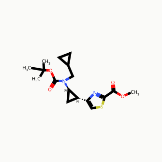 COC(=O)c1nc([C@@H]2C[C@H]2N(CC2CC2)C(=O)OC(C)(C)C)cs1